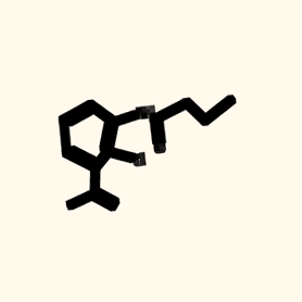 C=C(C)c1cccc(NC(=O)CCC)c1Cl